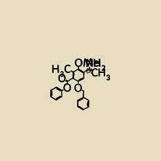 COc1c([C@H](C)N)cc(OCc2ccccc2)c(C(=O)Oc2ccccc2)c1C